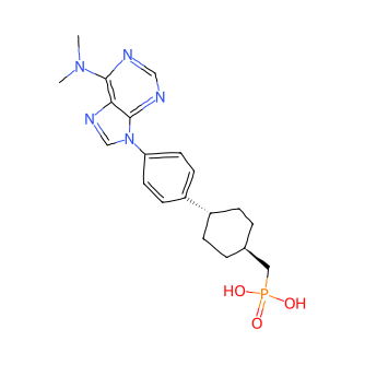 CN(C)c1ncnc2c1ncn2-c1ccc([C@H]2CC[C@H](CP(=O)(O)O)CC2)cc1